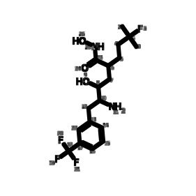 CC(C)(F)CCC(CC(O)C(N)Cc1cccc(C(F)(F)F)c1)C(=O)NO